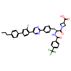 CCCc1ccc(-c2ccc(-c3cnc(-c4ccc(C[C@H](NC(=O)c5ccc(C(F)(F)F)cc5)C(=O)N5CC(C(=O)O)C5)cc4)nc3)c(F)c2)cc1